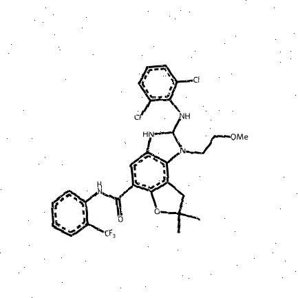 COCCN1c2c(cc(C(=O)Nc3ccccc3C(F)(F)F)c3c2CC(C)(C)O3)NC1Nc1c(Cl)cccc1Cl